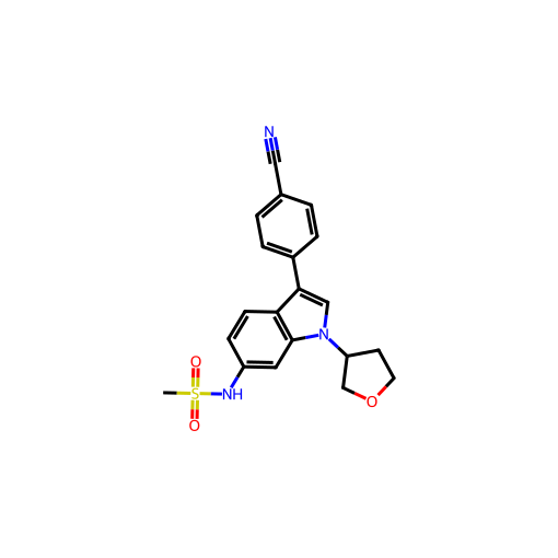 CS(=O)(=O)Nc1ccc2c(-c3ccc(C#N)cc3)cn(C3CCOC3)c2c1